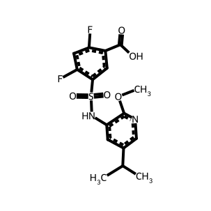 COc1ncc(C(C)C)cc1NS(=O)(=O)c1cc(C(=O)O)c(F)cc1F